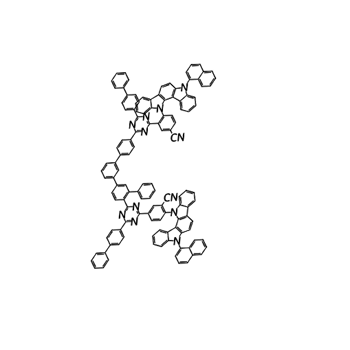 N#Cc1ccc(-n2c3ccccc3c3ccc4c(c5ccccc5n4-c4cccc5ccccc45)c32)c(-c2nc(-c3ccc(-c4ccccc4)cc3)nc(-c3ccc(-c4cccc(-c5ccc(-c6nc(-c7ccc(-c8ccccc8)cc7)nc(-c7ccc(-n8c9ccccc9c9ccc%10c(c%11ccccc%11n%10-c%10cccc%11ccccc%10%11)c98)c(C#N)c7)n6)c(-c6ccccc6)c5)c4)cc3)n2)c1